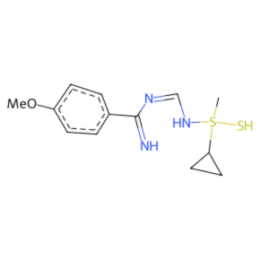 COc1ccc(C(=N)/N=C\NS(C)(S)C2CC2)cc1